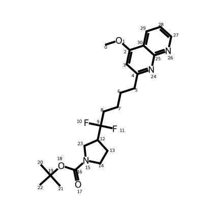 COc1cc(CCCCC(F)(F)C2CCN(C(=O)OC(C)(C)C)C2)nc2ncccc12